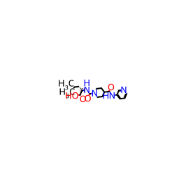 CC(C)C[C@H](NC(=O)N1CCC(C(=O)Nc2cccnc2)CC1)C(=O)O